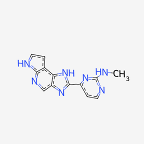 CNc1nccc(-c2nc3cnc4[nH]ccc4c3[nH]2)n1